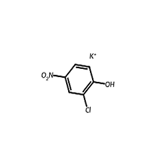 O=[N+]([O-])c1ccc(O)c(Cl)c1.[K+]